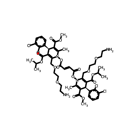 COC(=O)C1=C(C)N(OC(=O)/C=C/C(=O)ON2C(C)=C(C(=O)OC)[C@H](c3cccc(Cl)c3Cl)C(C(=O)OC(C)C)=C2COCCOCCN)C(COCCOCCN)=C(C(=O)OC(C)C)[C@H]1c1cccc(Cl)c1Cl